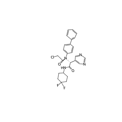 O=C(NC1CCC(F)(F)CC1)[C@@H](c1cncnc1)N(C(=O)CCl)c1ccc(-c2ccccc2)cc1